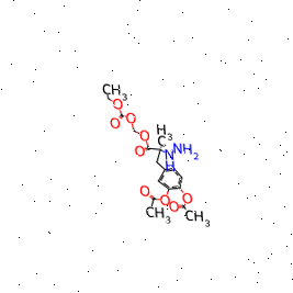 CCOC(=O)OCOC(=O)[C@](C)(Cc1ccc(OC(C)=O)c(OC(C)=O)c1)NN